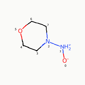 [O-][NH2+]N1CCOCC1